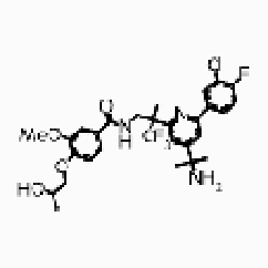 COc1cc(C(=O)NCC(C)(c2cc(C(C)(C)N)cc(-c3ccc(F)c(Cl)c3)n2)C(F)(F)F)ccc1OC[C@@H](C)O